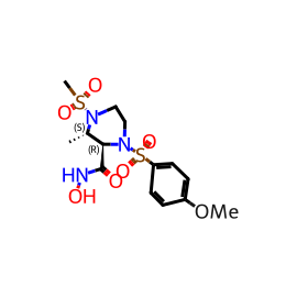 COc1ccc(S(=O)(=O)N2CCN(S(C)(=O)=O)[C@@H](C)[C@@H]2C(=O)NO)cc1